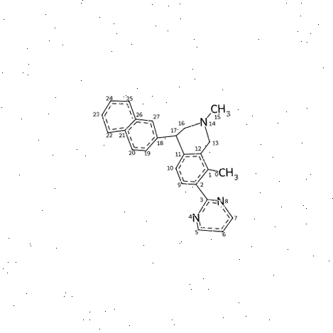 Cc1c(-c2ncccn2)ccc2c1CN(C)CC2c1ccc2ccccc2c1